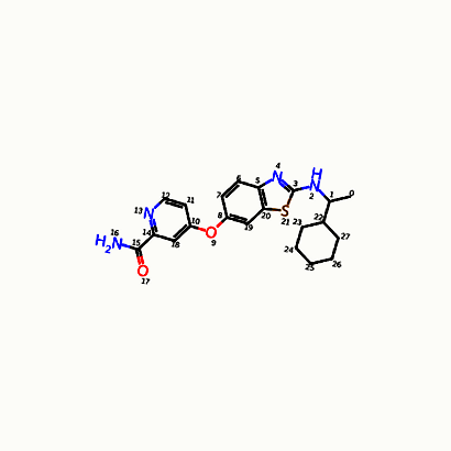 CC(Nc1nc2ccc(Oc3ccnc(C(N)=O)c3)cc2s1)C1CCCCC1